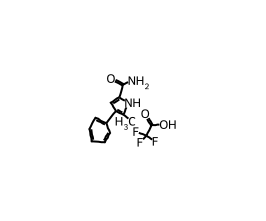 Cc1[nH]c(C(N)=O)cc1-c1ccccc1.O=C(O)C(F)(F)F